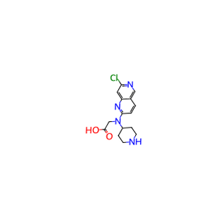 O=C(O)CN(c1ccc2cnc(Cl)cc2n1)C1CCNCC1